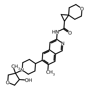 Cc1cc2cnc(NC(=O)C3CC34CCOCC4)cc2cc1C1CCN(C2(C)COCC2O)CC1